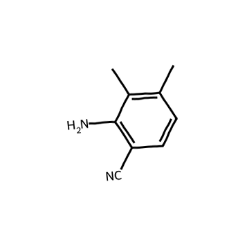 Cc1ccc(C#N)c(N)c1C